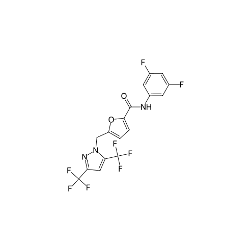 O=C(Nc1cc(F)cc(F)c1)c1ccc(Cn2nc(C(F)(F)F)cc2C(F)(F)F)o1